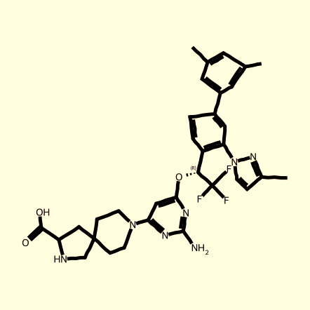 Cc1cc(C)cc(-c2ccc([C@@H](Oc3cc(N4CCC5(CC4)CNC(C(=O)O)C5)nc(N)n3)C(F)(F)F)c(-n3ccc(C)n3)c2)c1